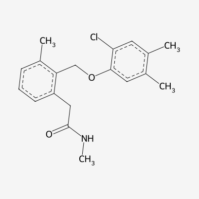 CNC(=O)Cc1cccc(C)c1COc1cc(C)c(C)cc1Cl